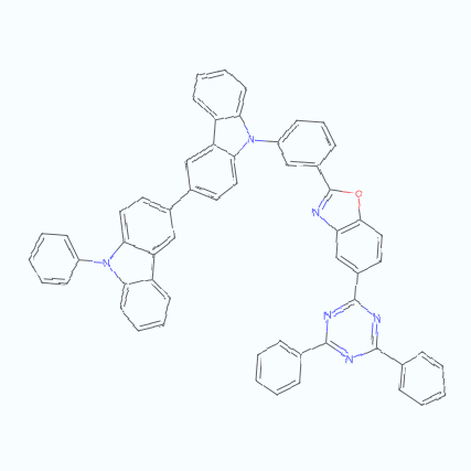 c1ccc(-c2nc(-c3ccccc3)nc(-c3ccc4oc(-c5cccc(-n6c7ccccc7c7cc(-c8ccc9c(c8)c8ccccc8n9-c8ccccc8)ccc76)c5)nc4c3)n2)cc1